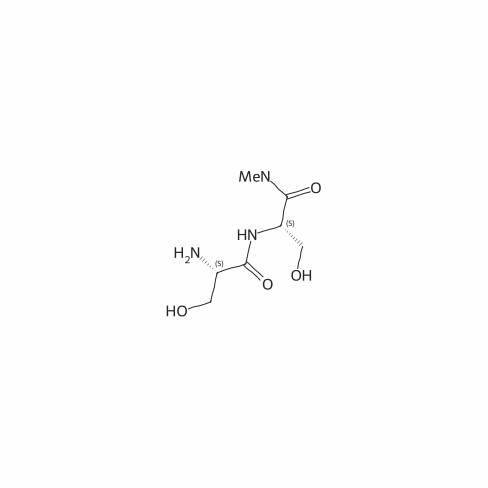 CNC(=O)[C@H](CO)NC(=O)[C@@H](N)CO